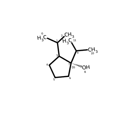 CC(C)C1CCC[C@]1(O)C(C)C